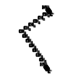 C.C.C.C.C.C.C.C.C.C.C.C.[C-]#[NH+].[C-]#[NH+]